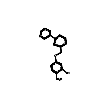 O=C(O)c1ccc(OCc2cccc(-c3cccnc3)c2)cc1O